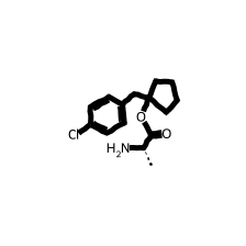 C[C@H](N)C(=O)OC1(Cc2ccc(Cl)cc2)CCCC1